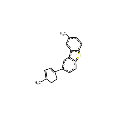 CC1=CC=C(c2ccc3sc4ccc(C)cc4c3c2)CC1